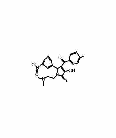 Cc1ccc(C(=O)C2=C(O)C(=O)N(CCN(C)C)C2c2cccc([N+](=O)[O-])c2)cc1